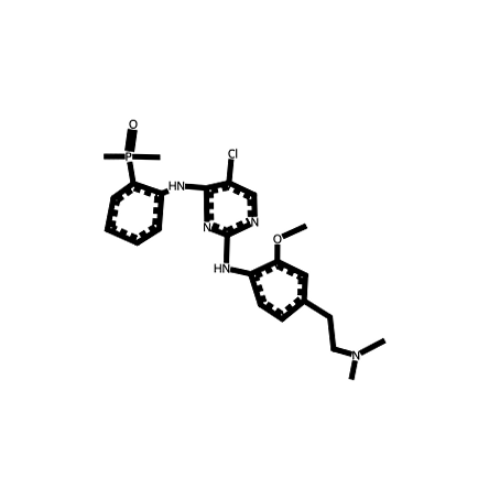 COc1cc(CCN(C)C)ccc1Nc1ncc(Cl)c(Nc2ccccc2P(C)(C)=O)n1